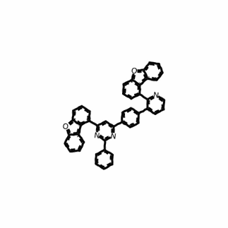 c1ccc(-c2nc(-c3ccc(-c4cccnc4-c4cccc5oc6ccccc6c45)cc3)cc(-c3cccc4oc5ccccc5c34)n2)cc1